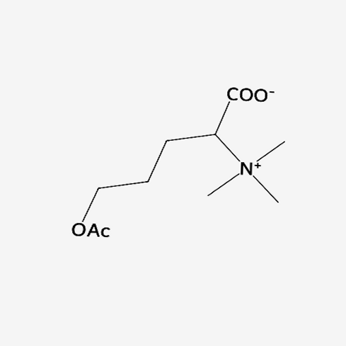 CC(=O)OCCCC(C(=O)[O-])[N+](C)(C)C